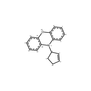 C1=CC(N2c3ccccc3Oc3ccccc32)CC1